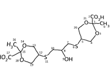 CC1(C(=O)O)OCC(SCC(O)CSC2COC(C)(C(=O)O)OC2)CO1